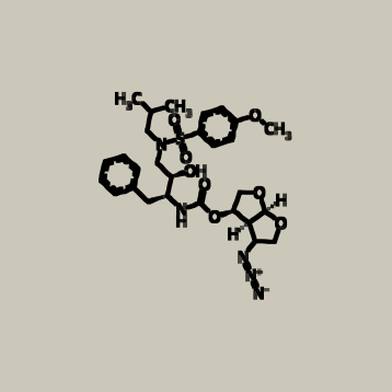 COc1ccc(S(=O)(=O)N(CC(C)C)C[C@@H](O)[C@H](Cc2ccccc2)NC(=O)O[C@H]2CO[C@H]3OCC(N=[N+]=[N-])[C@H]32)cc1